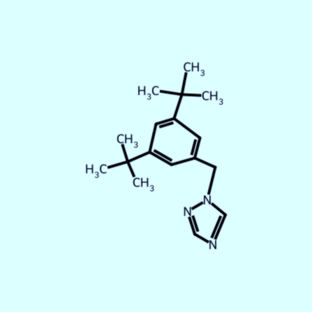 CC(C)(C)c1cc(Cn2cncn2)cc(C(C)(C)C)c1